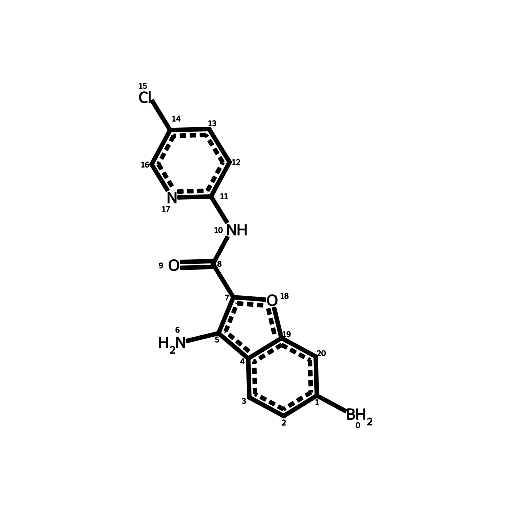 Bc1ccc2c(N)c(C(=O)Nc3ccc(Cl)cn3)oc2c1